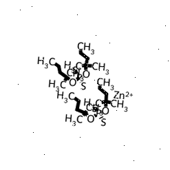 CCCC(C)(C)OP(=S)([S-])OC(C)(C)CCC.CCCC(C)(C)OP(=S)([S-])OC(C)(C)CCC.[Zn+2]